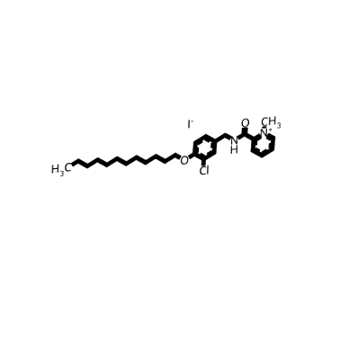 CCCCCCCCCCCCOc1ccc(CNC(=O)c2cccc[n+]2C)cc1Cl.[I-]